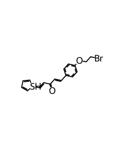 O=C(C=Cc1ccc(OCCBr)cc1)C=C[SH]1C=CC=C1